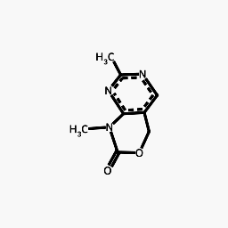 Cc1ncc2c(n1)N(C)C(=O)OC2